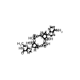 Cc1nc2c(ncn2[C@H]2[C@H](O)[C@@H]3OP(=O)(O)OC[C@@H]4[C@@H](O[P@](=O)(S)OCC35C[C@H]25)[C@@H](O)C2(n3cnc5c(N)ncnc53)C[C@@H]42)c(=O)[nH]1